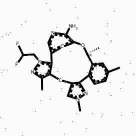 Cc1ccc2c(c1)[C@@H](C)Oc1cc(cnc1N)-c1c(c(C)nn1CC(F)F)Cc1cn(C)nc1-2